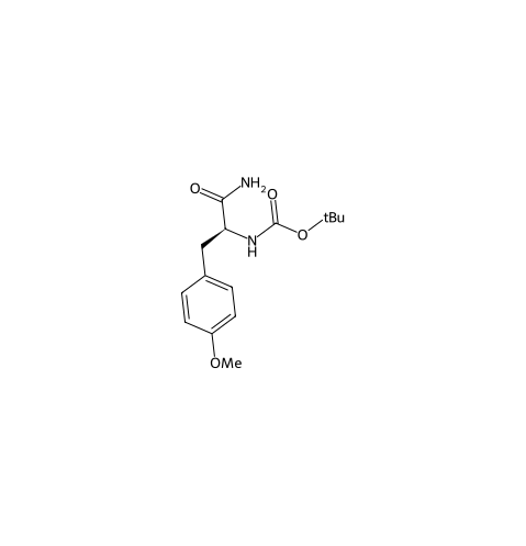 COc1ccc(C[C@H](NC(=O)OC(C)(C)C)C(N)=O)cc1